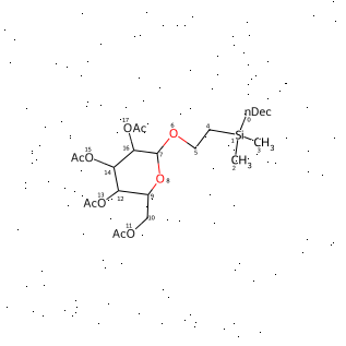 CCCCCCCCCC[Si](C)(C)CCOC1OC(COC(C)=O)C(OC(C)=O)C(OC(C)=O)C1OC(C)=O